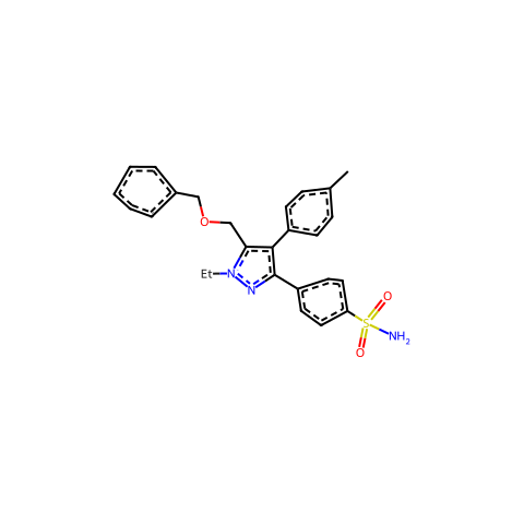 CCn1nc(-c2ccc(S(N)(=O)=O)cc2)c(-c2ccc(C)cc2)c1COCc1ccccc1